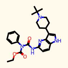 CCOC(=O)N(C(=O)Nc1ccc2[nH]cc(C3CCN(C(C)(C)C)CC3)c2n1)c1ccccc1